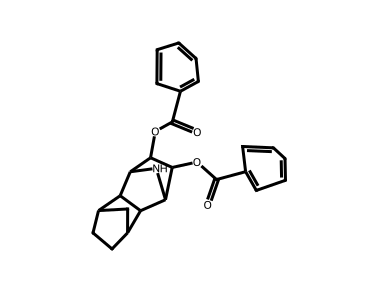 O=C(OC1C2NC(C1OC(=O)c1ccccc1)C1C3CCC(C3)C21)c1ccccc1